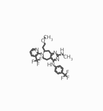 CNc1nc2c(c(Nc3ccc(C(F)(F)F)cc3)n1)CCN(c1ncccc1C(F)(F)F)C(CCOC)C2